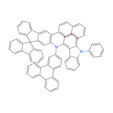 c1ccc(-n2c3ccccc3c3c(N(c4ccc5c6ccccc6c6ccccc6c5c4)c4cc5c(cc4-c4ccc6ccccc6c4)-c4ccccc4C54c5ccccc5-c5ccccc54)cccc32)cc1